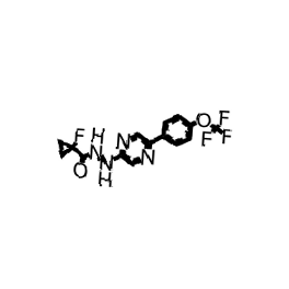 O=C(NNc1cnc(-c2ccc(OC(F)(F)F)cc2)cn1)C1(F)CC1